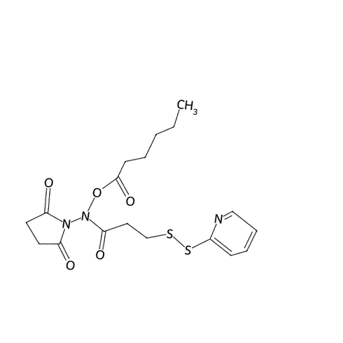 CCCCCC(=O)ON(C(=O)CCSSc1ccccn1)N1C(=O)CCC1=O